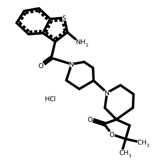 CC1(C)CC2(CCCN(C3CCN(C(=O)c4c(N)sc5ccccc45)CC3)C2)C(=O)O1.Cl